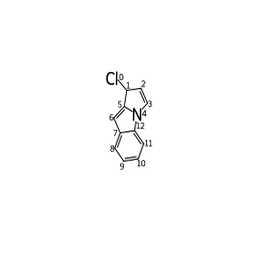 ClC1C=Cn2c1cc1ccccc12